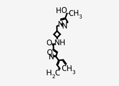 C=C/C=C(\C=C/C)c1cc(C(=O)NC2CC(Cn3cc([C@@H](C)O)cn3)C2)on1